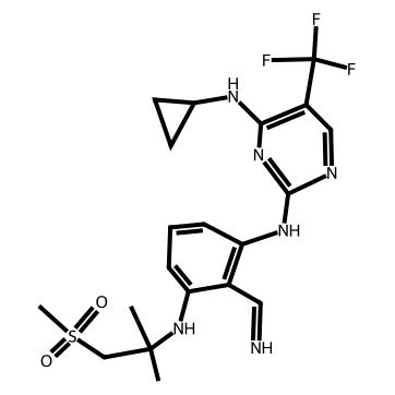 CC(C)(CS(C)(=O)=O)Nc1cccc(Nc2ncc(C(F)(F)F)c(NC3CC3)n2)c1C=N